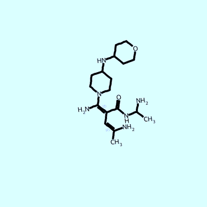 C/C(N)=C/C(C(=O)NC(C)N)=C(\N)N1CCC(NC2CCOCC2)CC1